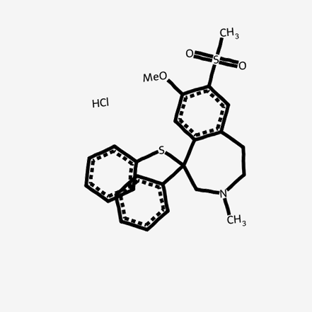 COc1cc2c(cc1S(C)(=O)=O)CCN(C)CC2(Sc1ccccc1)c1ccccc1.Cl